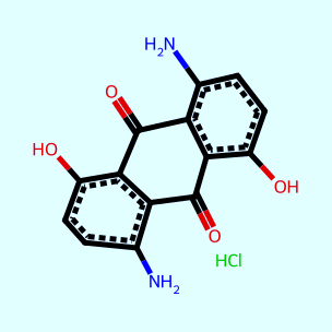 Cl.Nc1ccc(O)c2c1C(=O)c1c(O)ccc(N)c1C2=O